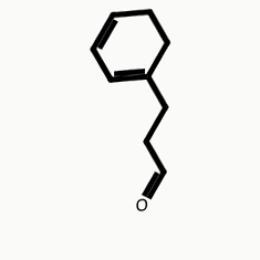 O=CCCC1=CC=CCC1